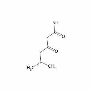 CC(C)CC(=O)CC([NH])=O